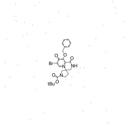 CC(C)(C)OC(=O)N1CCC2(CNC(=O)c3c(OCc4ccccc4)c(=O)c(Br)cn32)C1